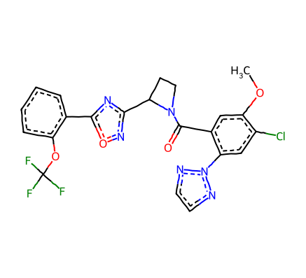 COc1cc(C(=O)N2CCC2c2noc(-c3ccccc3OC(F)(F)F)n2)c(-n2nccn2)cc1Cl